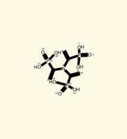 C=C(N(C(=C)P(=O)(O)O)C(=C)P(=O)(O)O)P(=O)(O)O